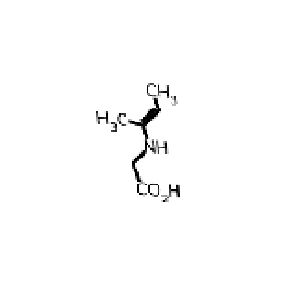 C/C=C(\C)NCC(=O)O